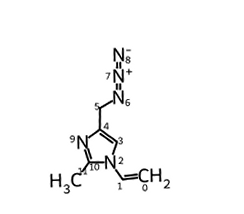 C=Cn1cc(CN=[N+]=[N-])nc1C